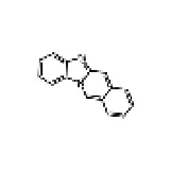 c1ccc2cn3c(cc2c1)nc1ccccc13